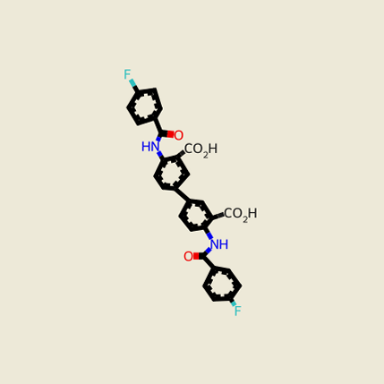 O=C(Nc1ccc(-c2ccc(NC(=O)c3ccc(F)cc3)c(C(=O)O)c2)cc1C(=O)O)c1ccc(F)cc1